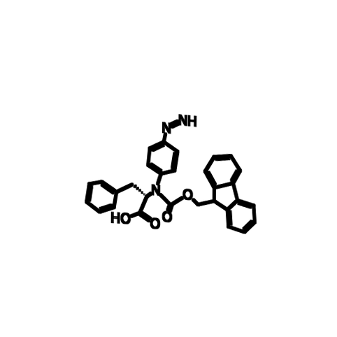 N=Nc1ccc(N(C(=O)OCC2c3ccccc3-c3ccccc32)[C@@H](Cc2ccccc2)C(=O)O)cc1